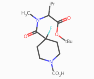 CC(C)C(C(=O)OC(C)(C)C)N(C)C(=O)C1(F)CCN(C(=O)O)CC1